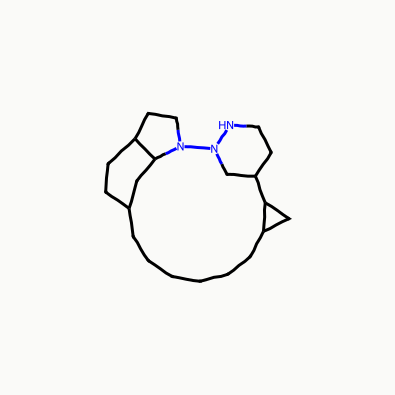 C1CCCC2CC2C2CCNN(C2)N2CCC3CCC(CC1)CC32